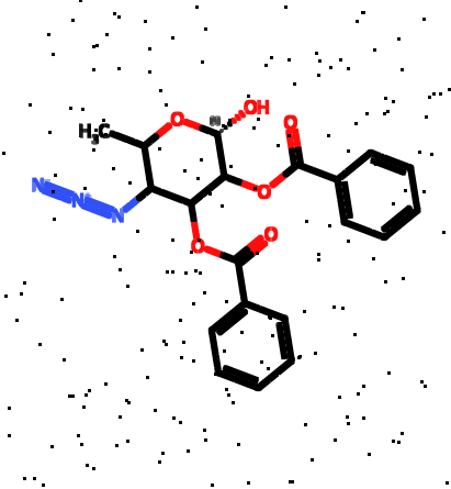 CC1O[C@H](O)C(OC(=O)c2ccccc2)C(OC(=O)c2ccccc2)C1N=[N+]=[N-]